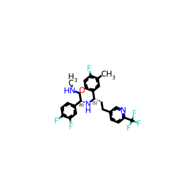 CNC(=O)[C@H](N[C@@H](CCc1ccc(C(F)(F)F)nc1)c1ccc(F)c(C)c1)c1ccc(F)c(F)c1